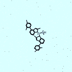 CC1=Cc2c(-c3ccc(C)cc3C)cccc2[CH]1[Zr]([CH]1C(C)=Cc2c(-c3ccc(C)cc3C)cccc21)[SiH](C)C